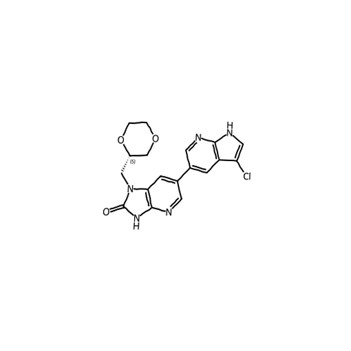 O=c1[nH]c2ncc(-c3cnc4[nH]cc(Cl)c4c3)cc2n1C[C@H]1COCCO1